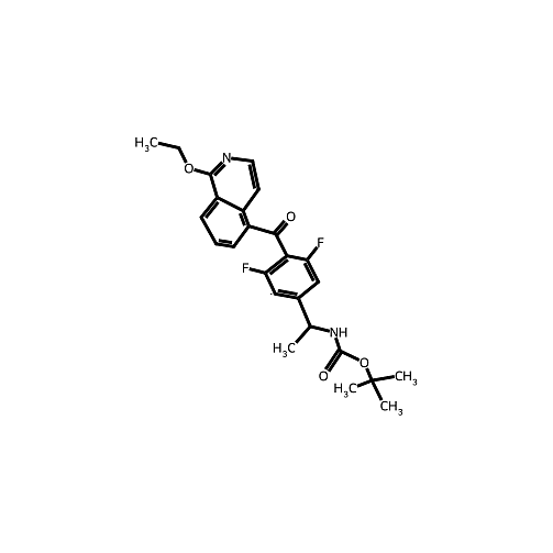 CCOc1nccc2c(C(=O)c3c(F)[c]c(C(C)NC(=O)OC(C)(C)C)cc3F)cccc12